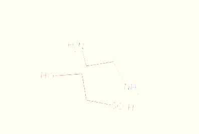 NCCN.O=S(=O)(O)CCO